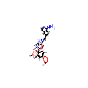 COc1ccc(C(OC(C)=O)C(=O)N2CCC[C@H]2C(=O)NCc2ccc3c(N)nccc3c2)cc1